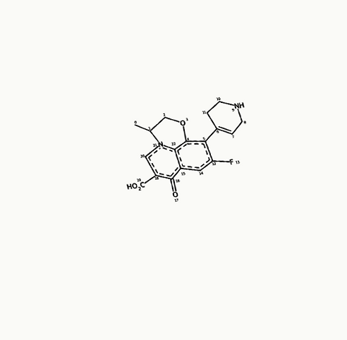 CC1COc2c(C3=CCNCC3)c(F)cc3c(=O)c(C(=O)O)cn1c23